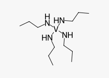 CCC[NH][V]([NH]CCC)([NH]CCC)[NH]CCC